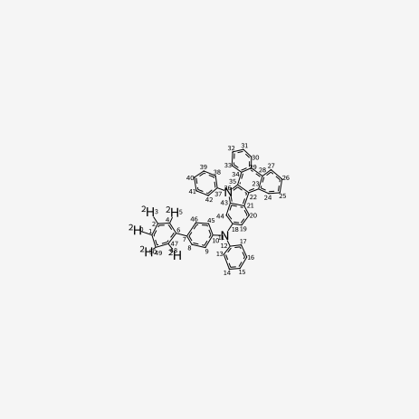 [2H]c1c([2H])c([2H])c(-c2ccc(N(c3ccccc3)c3ccc4c5c6ccccc6c6ccccc6c5n(-c5ccccc5)c4c3)cc2)c([2H])c1[2H]